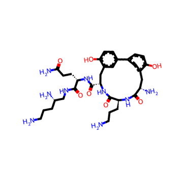 NCCC[C@H](N)CNC(=O)[C@H](CCC(N)=O)NC(=O)[C@@H]1Cc2cc(ccc2O)-c2ccc(O)c(c2)C[C@H](N)C(=O)N[C@@H](CCCN)C(=O)N1